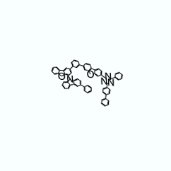 c1ccc(-c2ccc(-c3nc(-c4ccccc4)nc(-c4ccc5c(c4)oc4cc(-c6cccc(-c7cc(-n8c9ccccc9c9cc(-c%10ccccc%10)ccc98)c8oc9ccccc9c8c7)c6)ccc45)n3)cc2)cc1